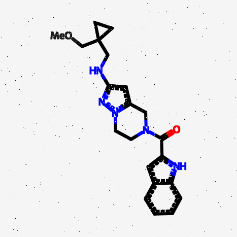 COCC1(CNc2cc3n(n2)CCN(C(=O)c2cc4ccccc4[nH]2)C3)CC1